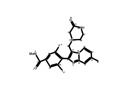 CNC(=O)c1cc(F)c(-c2nc3cc(C)ccn3c2CN2CCNC(=O)C2)c(I)c1